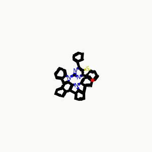 c1ccc(-c2nc(-n3c4ccccc4c4c5ccccc5c5c6cccc7c8ccccc8n(c76)c5c43)nc3c2sc2ccccc23)cc1